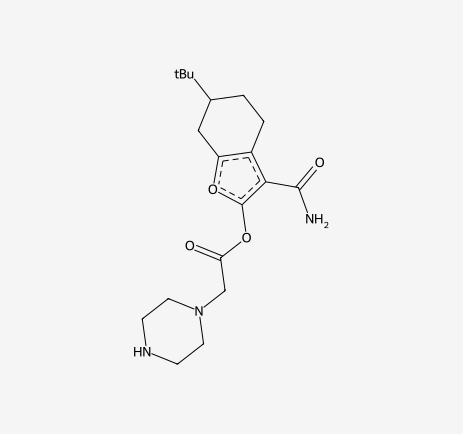 CC(C)(C)C1CCc2c(oc(OC(=O)CN3CCNCC3)c2C(N)=O)C1